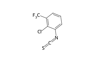 FC(F)(F)c1cccc(N=C=S)c1Cl